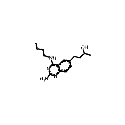 CCCCNc1nc(N)nc2ccc(CCC(C)O)cc12